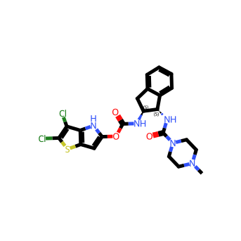 CN1CCN(C(=O)N[C@H]2c3ccccc3C[C@@H]2NC(=O)Oc2cc3sc(Cl)c(Cl)c3[nH]2)CC1